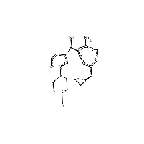 N=C(c1ccnc(N2CC[S+]([O-])CC2)c1)c1cc(OC2CC2)ccc1N